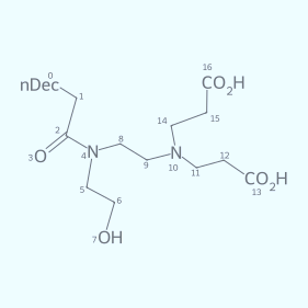 CCCCCCCCCCCC(=O)N(CCO)CCN(CCC(=O)O)CCC(=O)O